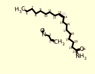 C=CCN=O.CCCCCCCC/C=C\CCCCCCCC(N)=O